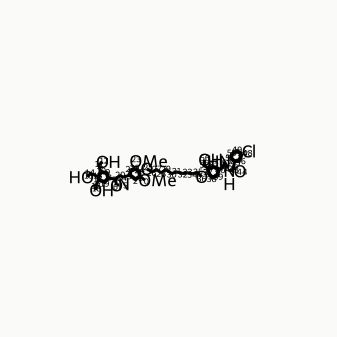 COc1cc(C2=NOC(c3cc(CO)c(CO)c(CO)c3)C2)cc(OC)c1OCCCCCCCCCCOc1ccc(C2NC(=O)c3cc(Cl)ccc3N2)cc1CO